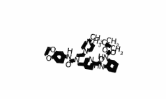 CN1CCN(CCN(Cc2ccc(C(=O)Nc3ccccc3NC(=O)OC(C)(C)C)nc2)C(=O)Nc2ccc3c(c2)OCCO3)CC1